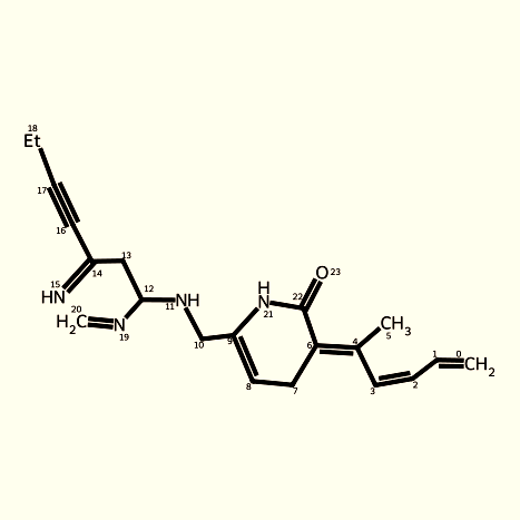 C=C/C=C\C(C)=C1/CC=C(CNC(CC(=N)C#CCC)N=C)NC1=O